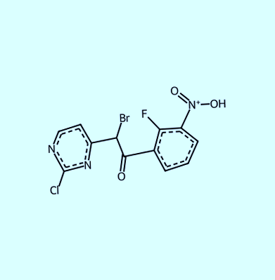 O=C(c1cccc([N+](=O)O)c1F)C(Br)c1ccnc(Cl)n1